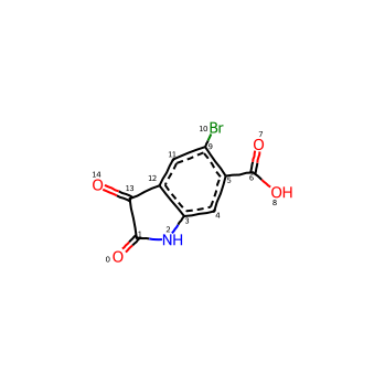 O=C1Nc2cc(C(=O)O)c(Br)cc2C1=O